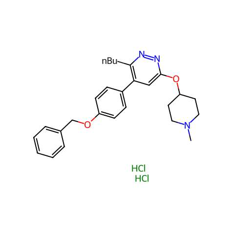 CCCCc1nnc(OC2CCN(C)CC2)cc1-c1ccc(OCc2ccccc2)cc1.Cl.Cl